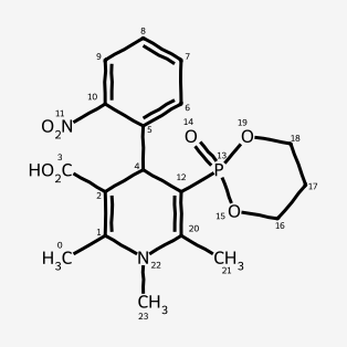 CC1=C(C(=O)O)C(c2ccccc2[N+](=O)[O-])C(P2(=O)OCCCO2)=C(C)N1C